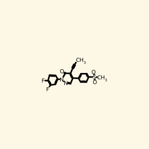 CC#Cc1c(-c2ccc(S(C)(=O)=O)cc2)cnn(-c2ccc(F)c(F)c2)c1=O